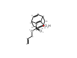 C=CCOC(=O)C1=C(C(=O)O)C2C=CC1C/C=C\C2